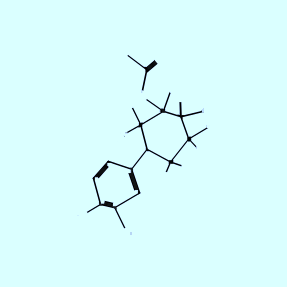 [2H]C1([2H])C(c2ccc(O)c(O)c2)C([2H])(N)C([2H])(OC(=O)CC)C([2H])([2H])C1([2H])[2H]